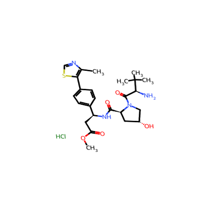 COC(=O)C[C@H](NC(=O)[C@@H]1C[C@@H](O)CN1C(=O)[C@H](N)C(C)(C)C)c1ccc(-c2scnc2C)cc1.Cl